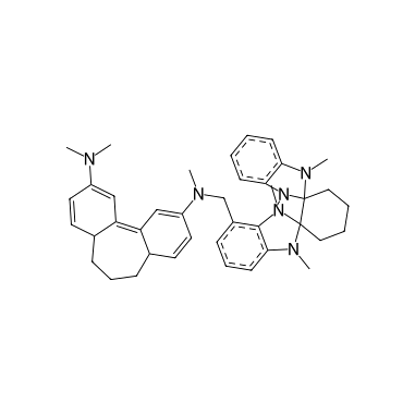 CN(C)C1=CC2=C3C=C(N(C)Cc4cccc5c4N(C)C4(CCCCC46N(C)c4ccccc4N6C)N5C)C=CC3CCCC2C=C1